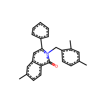 Cc1ccc(Cn2c(-c3ccccc3)cc3cc(C)ccc3c2=O)c(C)c1